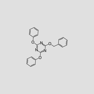 c1ccc(COc2nc(Oc3ccccc3)nc(Oc3ccccc3)n2)cc1